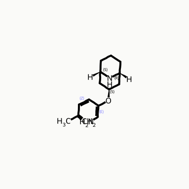 C=C(C)/C=C\C(=C/N)O[C@@H]1C[C@H]2CCC[C@@H](C1)N2